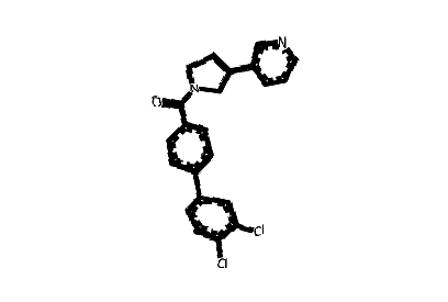 O=C(c1ccc(-c2ccc(Cl)c(Cl)c2)cc1)N1CCC(c2cccnc2)C1